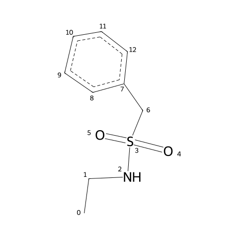 CCNS(=O)(=O)Cc1ccccc1